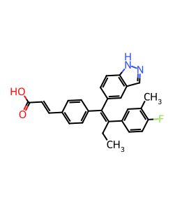 CCC(=C(c1ccc(C=CC(=O)O)cc1)c1ccc2[nH]ncc2c1)c1ccc(F)c(C)c1